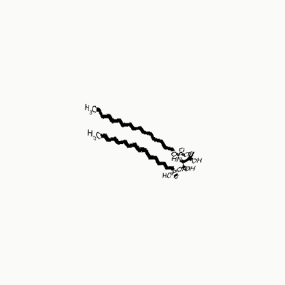 CCCCCCCCCCCCCCCCOP(=O)(O)N[C@@H](CO)C(=O)O.CCCCCCCCCCCCCCCCP(=O)(O)O